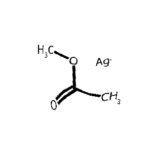 COC(C)=O.[Ag]